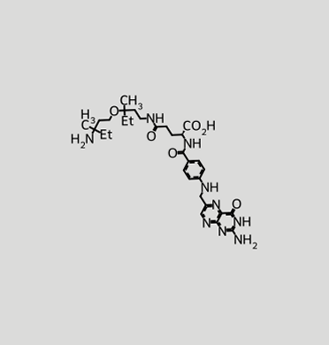 CCC(C)(N)CCOC(C)(CC)CCNC(=O)CC[C@H](NC(=O)c1ccc(NCc2cnc3nc(N)[nH]c(=O)c3n2)cc1)C(=O)O